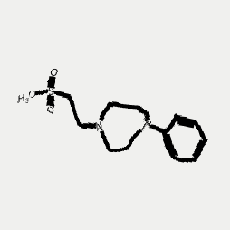 CS(=O)(=O)CCN1CCN(c2ccccc2)CC1